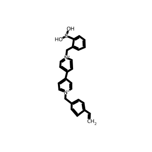 C=Cc1ccc(C[n+]2ccc(-c3cc[n+](Cc4ccccc4B(O)O)cc3)cc2)cc1